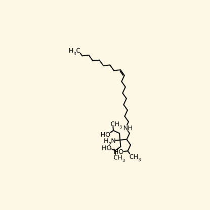 CCCCCCCC/C=C\CCCCCCCCNCC(CC(C)O)C(N)(CC(C)O)CC(C)O